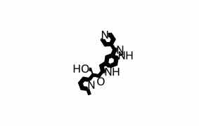 Cc1cccc([C@@H](CO)C(=O)c2cc3cc4c(-c5ccncc5)n[nH]c4cc3[nH]2)n1